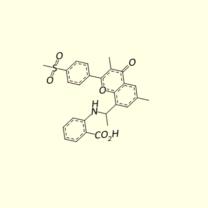 Cc1cc(C(C)Nc2ccccc2C(=O)O)c2oc(-c3ccc(S(C)(=O)=O)cc3)c(C)c(=O)c2c1